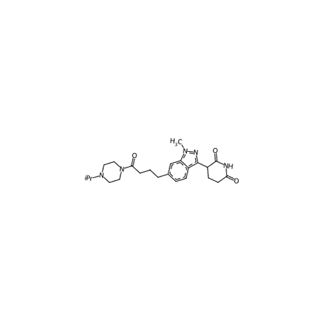 CC(C)N1CCN(C(=O)CCCc2ccc3c(C4CCC(=O)NC4=O)nn(C)c3c2)CC1